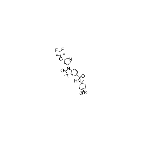 CC1(NC(=O)c2ccc3c(c2)C(C)(C)C(=O)N3c2cncc(OC(F)(F)C(F)F)c2)CCS(=O)(=O)CC1